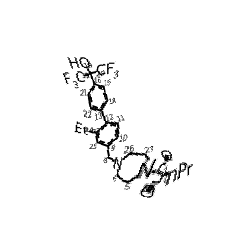 CCCS(=O)(=O)N1CCN(Cc2ccc(-c3ccc(C(O)(C(F)(F)F)C(F)(F)F)cc3)c(CC)c2)CC1